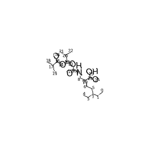 CCC(CC)CC[C@@H](CNC(=O)O[C@H](OC(=O)C(C)C)C(C)C)C(=O)O